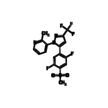 Cc1ncccc1-n1nc(C(F)(F)F)cc1-c1cc(F)c(S(C)(=O)=O)cc1F